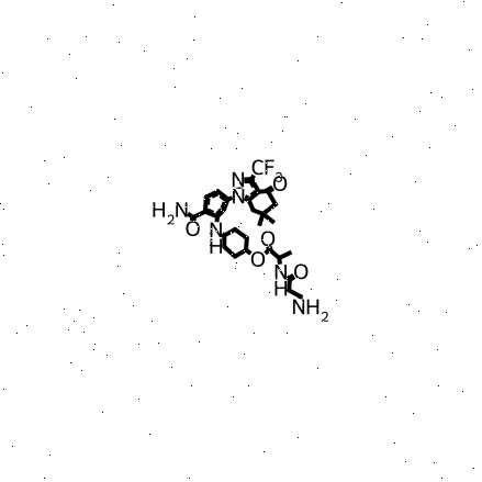 CC(NC(=O)CCN)C(=O)OC1CCC(Nc2cc(-n3nc(C(F)(F)F)c4c3CC(C)(C)CC4=O)ccc2C(N)=O)CC1